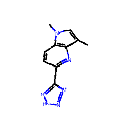 Cc1cn(C)c2ccc(-c3nn[nH]n3)nc12